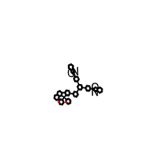 c1ccc(C2(c3ccccc3)c3cc(-c4cccc(-c5cc(-c6ccc(-c7nc8ccccc8o7)cc6)cc(-c6ccc(-c7nc8ccccc8o7)cc6)c5)c4)ccc3-c3ccc4ccccc4c32)cc1